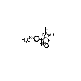 COc1ccc(NC2=NNC(=O)/C2=C/c2ccc[nH]2)cc1